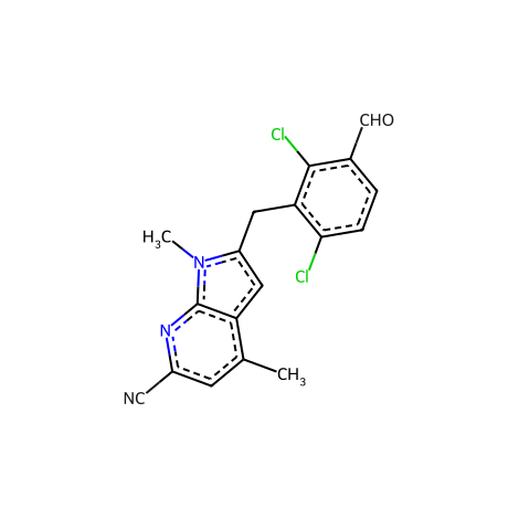 Cc1cc(C#N)nc2c1cc(Cc1c(Cl)ccc(C=O)c1Cl)n2C